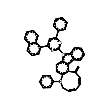 C=C1/C=C\C=C/CN(c2ccccc2)c2ccc3c(c21)c1ccccc1n3-c1nc(-c2ccccc2)cc(-c2cccc3ccccc23)n1